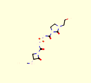 O=C(O)N[C@H]1CN(C(=O)NS(=O)(=O)NC(=O)N2CCN(CCO)C2=O)C1=O